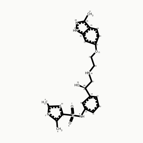 Cc1nc(C)c(S(=O)(=O)Nc2cccc([C@@H](O)CNCCOc3ccc4c(C)n[nH]c4c3)c2)s1